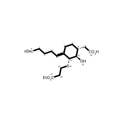 CCCCCCCCCCCCC/C=C1\CC[C@H](CC(=O)O)[C@@H](O)[C@@H]1SCCC(=O)OCC